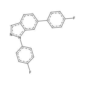 Fc1ccc(-c2ccc3[c]nn(-c4ccc(F)cc4)c3c2)cc1